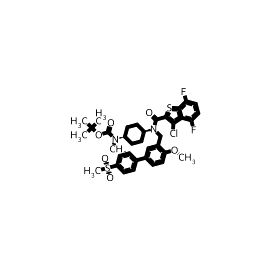 COc1ccc(-c2ccc(S(C)(=O)=O)cc2)cc1CN(C(=O)c1sc2c(F)ccc(F)c2c1Cl)[C@H]1CC[C@H](N(C)C(=O)OC(C)(C)C)CC1